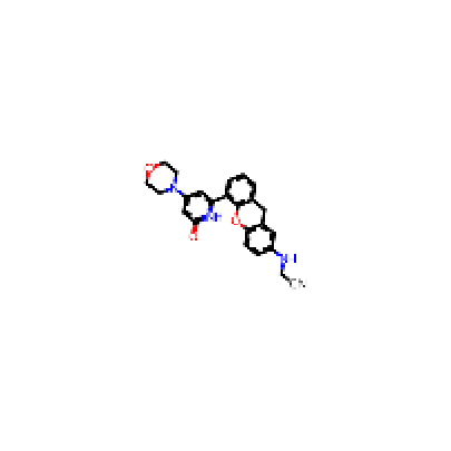 N#CCNc1ccc2c(c1)Cc1cccc(-c3cc(N4CCOCC4)cc(=O)[nH]3)c1O2